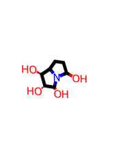 OC1CCC2[C@H](O)[C@@H](O)C(O)N12